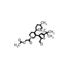 CC(=O)OCC(=O)N1CCC(C2CCC(C)CC2)=C(c2cc(C(C)(C)C)sc2C=O)C1